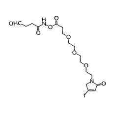 O=CCCC(=O)NOC(=O)CCOCCOCCOCCN1CC(I)=CC1=O